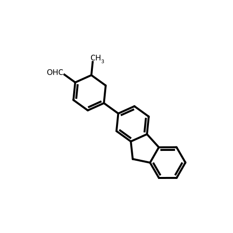 CC1CC(c2ccc3c(c2)Cc2ccccc2-3)=CC=C1C=O